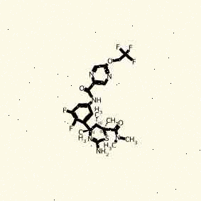 C[C@@H]1[C@@](C)(C(=O)N(C)C)SC(N)=N[C@]1(C)c1cc(NC(=O)c2cnc(OCC(F)(F)F)cn2)cc(F)c1F